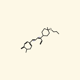 C=C/C(=C\C=C\C1=CCC(C)C(=C)C=C1)C1CCC(C)(OCCC)CC1